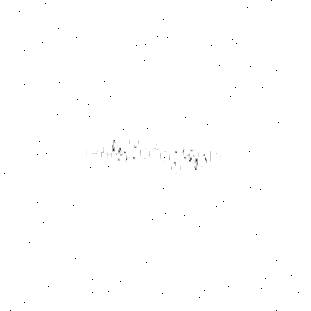 CC(C)(C)OC(=O)N1CCCC[C@@H]1C(=O)C1C(=O)c2ccc(C(=O)c3ccc4c(c3)C(=O)C(C(=O)[C@H]3CCCCN3C(=O)OC(C)(C)C)C4=O)cc2C1=O